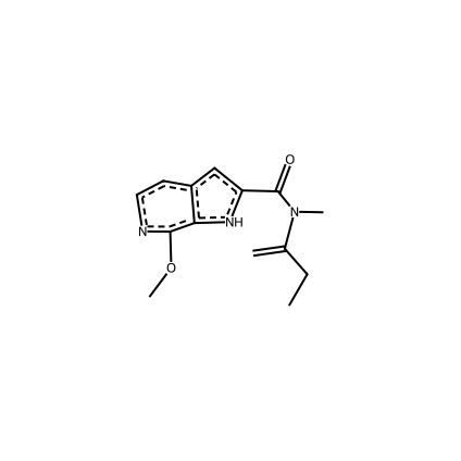 C=C(CC)N(C)C(=O)c1cc2ccnc(OC)c2[nH]1